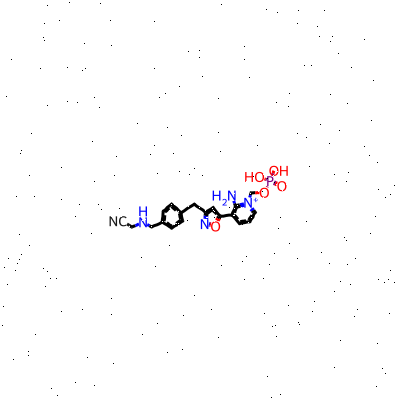 N#CCNCc1ccc(Cc2cc(-c3ccc[n+](COP(=O)(O)O)c3N)on2)cc1